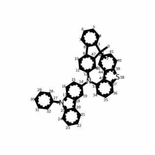 CC1(C)c2ccccc2-c2ccc(N(c3ccc4c(c3)c3ccccc3n4-c3ccccc3)c3cccc4sc5ccccc5c34)cc21